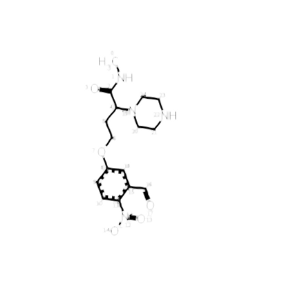 CNC(=O)C(CCOc1ccc([N+](=O)[O-])c(C=O)c1)N1CCNCC1